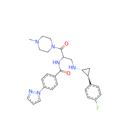 CN1CCN(C(=O)C(CN[C@@H]2C[C@H]2c2ccc(F)cc2)NC(=O)c2ccc(-n3cccn3)cc2)CC1